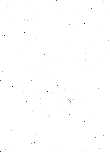 CCOC(=O)[C@H](CCc1ccccc1)N[C@@H](C)C(=O)N1C(C(=O)O)C[C@H]2CCC[C@H]21.Cl